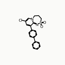 O=S1(=O)CCCN2C=C(Cl)C=C(c3ccc(-c4ccccc4)cc3)C2=N1